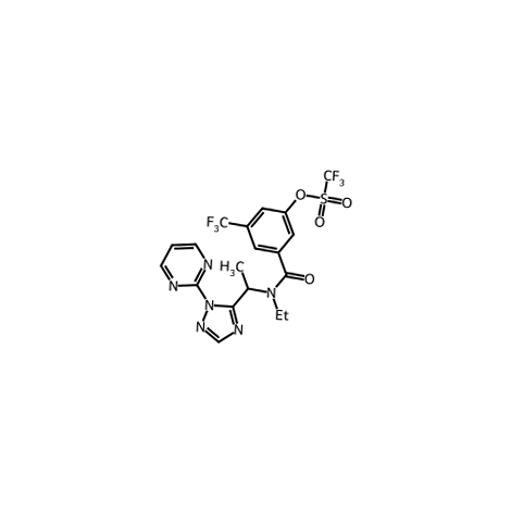 CCN(C(=O)c1cc(OS(=O)(=O)C(F)(F)F)cc(C(F)(F)F)c1)C(C)c1ncnn1-c1ncccn1